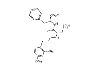 COc1ccc(CCCN[C@@H](CC(=O)O)C(=O)N[C@@H](Cc2ccccc2)C(=O)O)c(O)c1